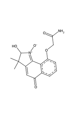 CC1(C)C2=CC(=O)c3cccc(OCC(N)=O)c3C2=[N+]([O-])C1O